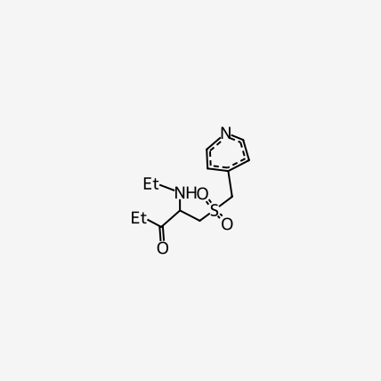 CCNC(CS(=O)(=O)Cc1ccncc1)C(=O)CC